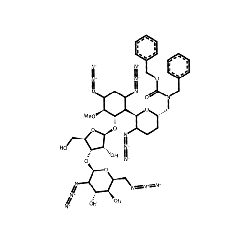 CO[C@H]1C(N=[N+]=[N-])CC(N=[N+]=[N-])C([C@H]2O[C@H](CN(Cc3ccccc3)C(=O)OCc3ccccc3)CCC2N=[N+]=[N-])[C@@H]1O[C@@H]1O[C@H](CO)[C@@H](O[C@H]2O[C@@H](CN=[N+]=[N-])[C@@H](O)[C@H](O)C2N=[N+]=[N-])[C@H]1O